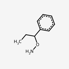 CCC(ON)c1ccccc1